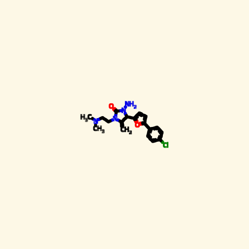 C=C1C(c2ccc(-c3ccc(Cl)cc3)o2)N(N)C(=O)N1CCN(C)C